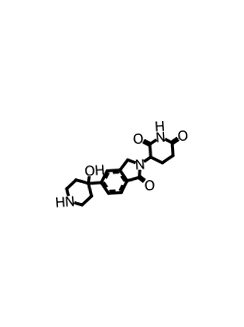 O=C1CCC(N2Cc3cc(C4(O)CCNCC4)ccc3C2=O)C(=O)N1